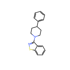 c1ccc(C2CCN(c3nsc4ccccc34)CC2)cc1